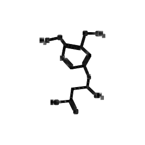 COc1cc(SC(C)CC(=O)O)cnc1OC